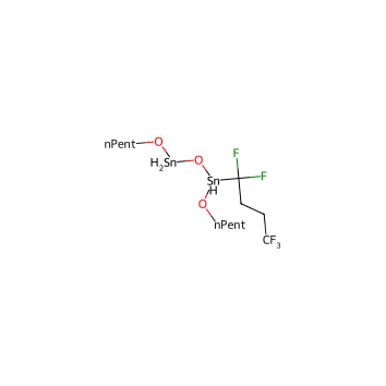 CCCCC[O][SnH2][O][SnH]([O]CCCCC)[C](F)(F)CCC(F)(F)F